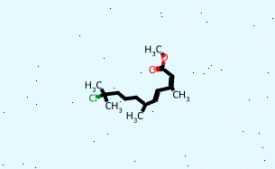 COC(=O)C=C(C)C=CC(C)CCCC(C)(C)Cl